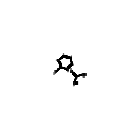 Fc1ncccn1.O=C(O)O